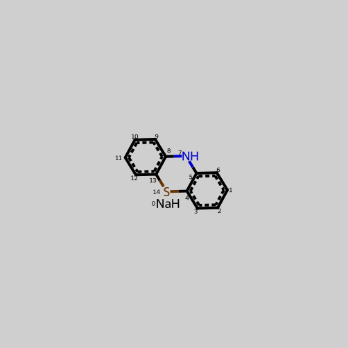 [NaH].c1ccc2c(c1)Nc1ccccc1S2